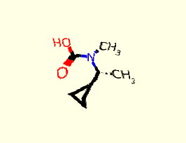 C[C@H](C1CC1)N(C)C(=O)O